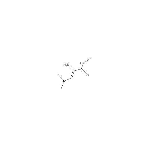 CNC(=O)/C(N)=C/N(C)C